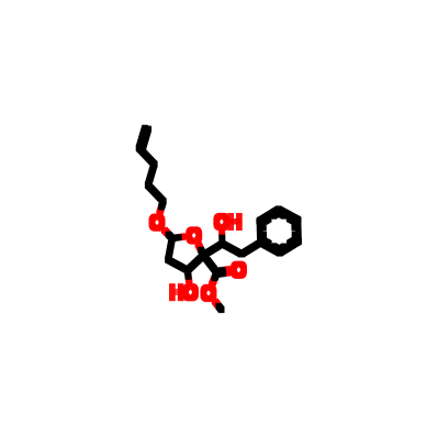 C=CCCCOC1CC(O)C(C(=O)OC)(C(O)Cc2ccccc2)O1